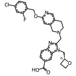 O=C(O)c1ccc2nc(CN3CCc4cnc(OCc5ccc(Cl)cc5F)cc4C3)n(C[C@@H]3CCO3)c2c1